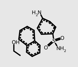 CCO.Nc1ccc(S(N)(=O)=O)cc1.c1ccc2ccccc2c1